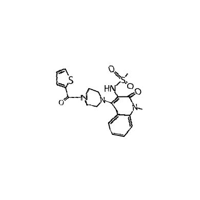 Cn1c(=O)c(NS(C)(=O)=O)c(N2CCN(C(=O)c3cccs3)CC2)c2ccccc21